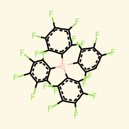 Fc1cc(F)c([B-](c2c(F)c(F)c(F)c(F)c2F)(c2c(F)c(F)c(F)c(F)c2F)c2c(F)c(F)c(F)c(F)c2F)c(F)c1F